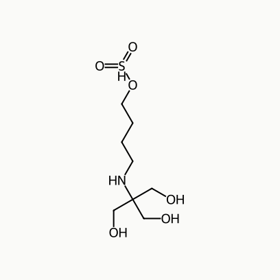 O=[SH](=O)OCCCCNC(CO)(CO)CO